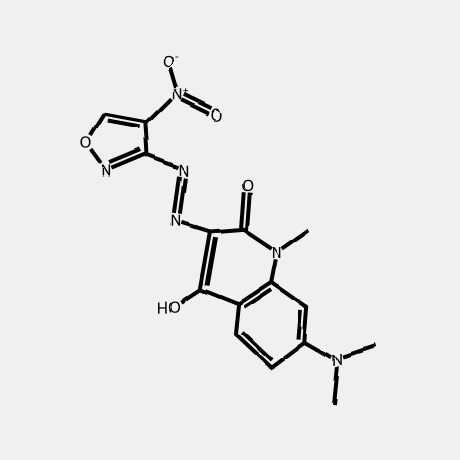 CN(C)c1ccc2c(O)c(N=Nc3nocc3[N+](=O)[O-])c(=O)n(C)c2c1